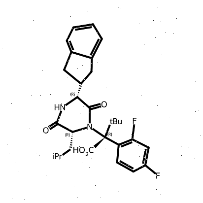 CC(C)C[C@@H]1C(=O)N[C@H](C2Cc3ccccc3C2)C(=O)N1[C@@](C(=O)O)(c1ccc(F)cc1F)C(C)(C)C